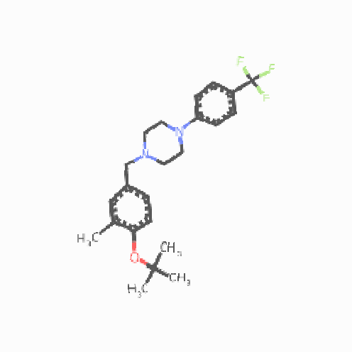 Cc1cc(CN2CCN(c3ccc(C(F)(F)F)cc3)CC2)ccc1OC(C)(C)C